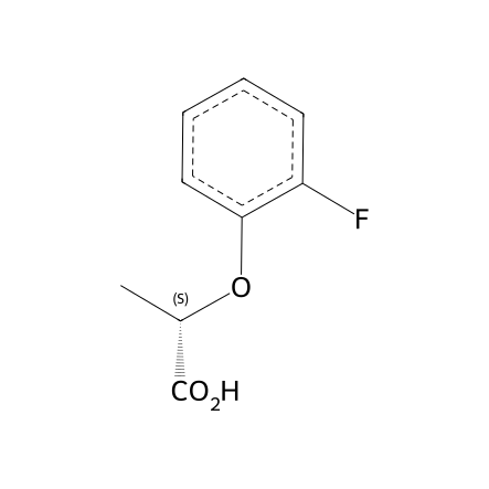 C[C@H](Oc1ccccc1F)C(=O)O